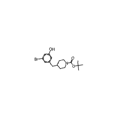 CC(C)(C)OC(=O)N1CCC(Cc2cc(O)cc(Br)c2)CC1